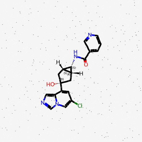 O=C(N[C@@H]1[C@@H]2C[C@@](O)(c3cc(Cl)cn4cncc34)C[C@@H]21)c1cccnc1